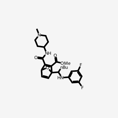 CCCCC(Nc1cc(F)cc(F)c1)C12C=CC(O1)C(C(=O)NC1CCN(C)CC1)=C2C(=O)OC